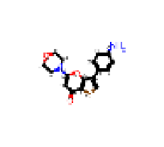 Nc1ccc(-c2csc3c(=O)cc(N4CCOCC4)oc23)cc1